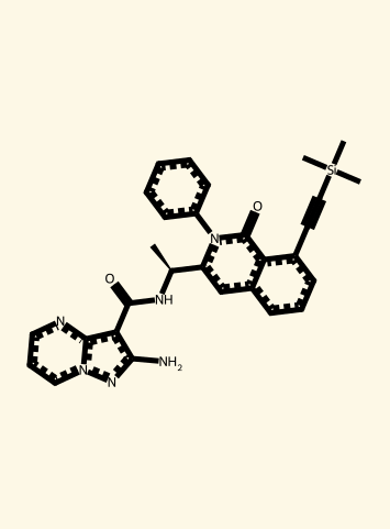 C[C@H](NC(=O)c1c(N)nn2cccnc12)c1cc2cccc(C#C[Si](C)(C)C)c2c(=O)n1-c1ccccc1